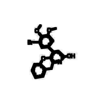 COc1cc(-c2cc(O)nc3c2Oc2ccccc2C3)cc(Br)c1OC